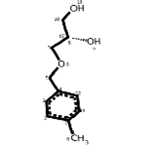 Cc1ccc(COC[C@@H](O)CO)cc1